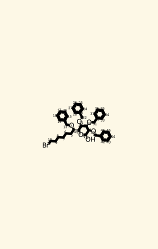 O[C@@H]1O[C@H](C(CCCCCCBr)OCc2ccccc2)[C@@H](OCc2ccccc2)[C@H](OCc2ccccc2)[C@H]1OCc1ccccc1